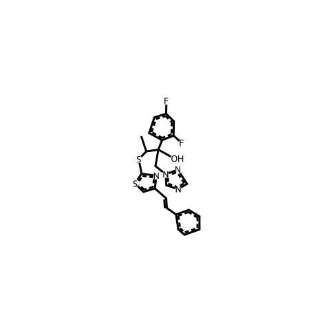 CC(Sc1nc(/C=C/c2ccccc2)cs1)C(O)(Cn1cncn1)c1ccc(F)cc1F